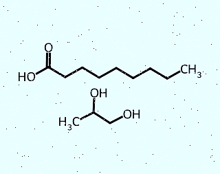 CC(O)CO.CCCCCCCCC(=O)O